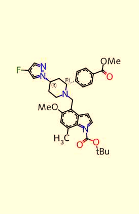 COC(=O)c1ccc([C@H]2C[C@H](n3cc(F)cn3)CCN2Cc2c(OC)cc(C)c3c2ccn3C(=O)OC(C)(C)C)cc1